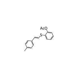 CC(=O)Oc1ccccc1SC=Cc1ccc(C)cc1